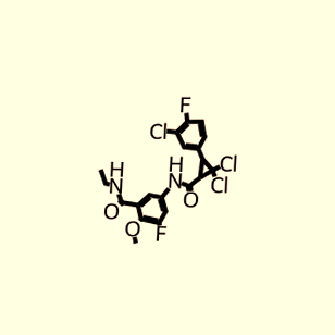 CCNC(=O)c1cc(NC(=O)C2C(c3ccc(F)c(Cl)c3)C2(Cl)Cl)cc(F)c1OC